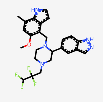 COc1cc(C)c2[nH]ccc2c1CN1CCN(CC(F)(F)C(F)F)CC1c1ccc2[nH]ncc2c1